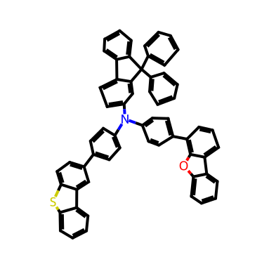 c1ccc(C2(c3ccccc3)c3ccccc3-c3ccc(N(c4ccc(-c5ccc6sc7ccccc7c6c5)cc4)c4ccc(-c5cccc6c5oc5ccccc56)cc4)cc32)cc1